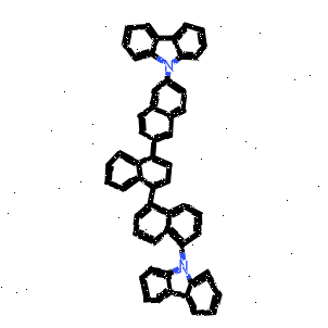 c1ccc2c(-c3cccc4c(-n5c6ccccc6c6ccccc65)cccc34)ccc(-c3ccc4cc(-n5c6ccccc6c6ccccc65)ccc4c3)c2c1